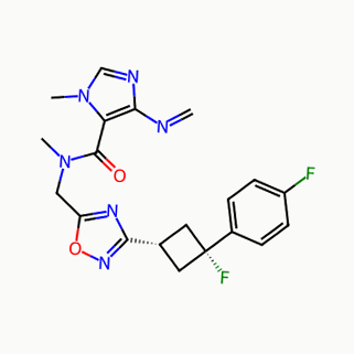 C=Nc1ncn(C)c1C(=O)N(C)Cc1nc([C@H]2C[C@](F)(c3ccc(F)cc3)C2)no1